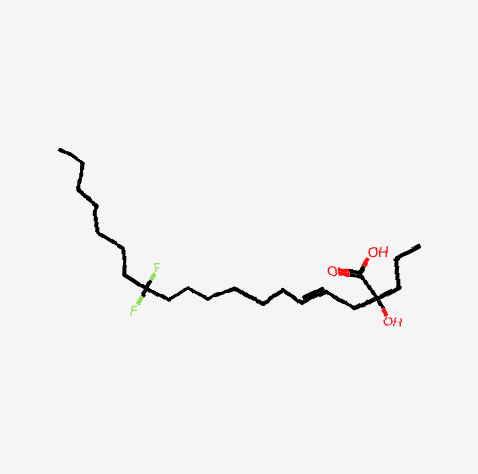 CCCCCCCC(F)(F)CCCCCCC=CCC(O)(CCC)C(=O)O